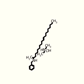 C=C(CCCCCCCCC=CCCCCCCCC)NCc1ccccc1.CCNCC.Cl